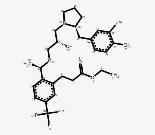 CCOC(=O)CCc1cc(C(F)(F)F)ccc1[C@@H](C)OC[C@@H](O)CN1CCC[C@H]1Cc1ccc(C)c(F)c1